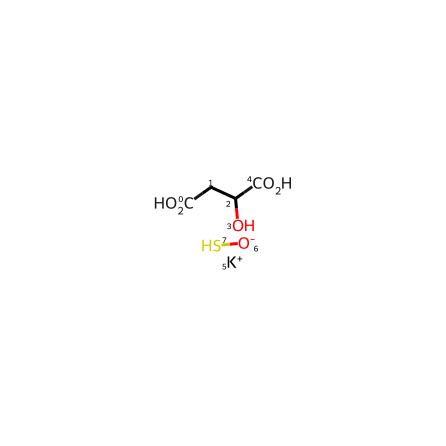 O=C(O)CC(O)C(=O)O.[K+].[O-]S